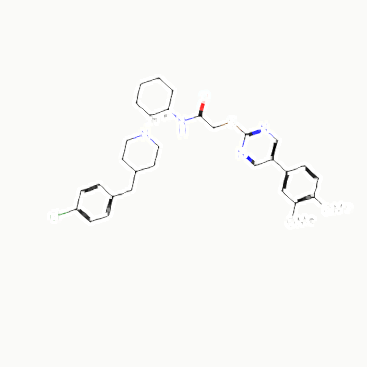 COc1ccc(-c2cnc(SCC(=O)N[C@@H]3CCCC[C@H]3N3CCC(Cc4ccc(Cl)cc4)CC3)nc2)cc1OC